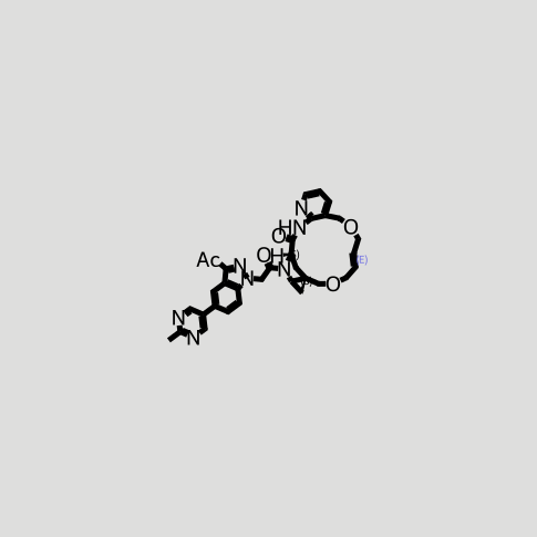 CC(=O)c1nn(CC(=O)N2C3C[C@@]34COC/C=C/COCc3cccnc3NC(=O)[C@@H]2C4)c2ccc(-c3cnc(C)nc3)cc12